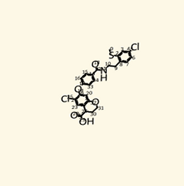 CSc1cc(Cl)ccc1CCNC(=O)c1ccc(Oc2cc3c(cc2Cl)C(C(=O)O)CCO3)cc1